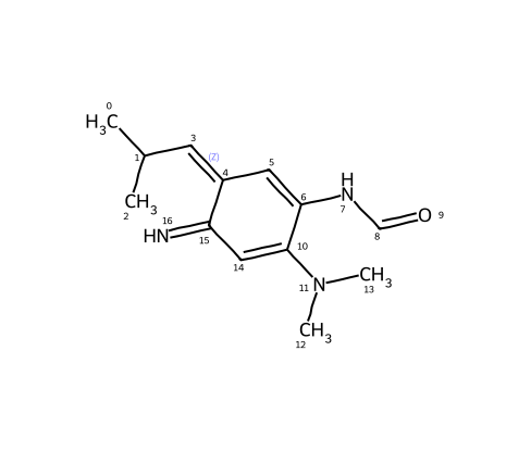 CC(C)/C=C1/C=C(NC=O)C(N(C)C)=CC1=N